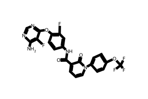 Nc1ncnc(Oc2ccc(NC(=O)c3cccn(-c4ccc(OC(F)(F)F)cc4)c3=O)cc2F)c1F